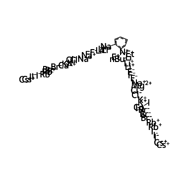 CC[N-]CC.[Br-].[Br-].[Br-].[Br-].[Br-].[Br-].[Ca+2].[Cl-].[Cl-].[Cl-].[Cl-].[Cs+].[Cs+].[Cs+].[Cs+].[F-].[F-].[F-].[F-].[F-].[I-].[I-].[I-].[I-].[I-].[I-].[I][Co][I].[K+].[K+].[K+].[K+].[Li+].[Li+].[Li+].[Li+].[Li+].[Li][CH2]CCC.[Mg+2].[Na+].[Na+].[Na+].[Na][c]1ccccc1.[Rb+].[Rb+].[Rb+].[Rb+]